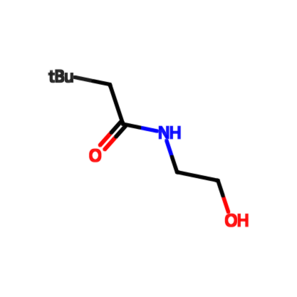 [CH2]C(C)(C)CC(=O)NCCO